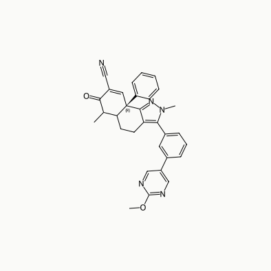 COc1ncc(-c2cccc(-c3c4c(nn3C)[C@@]3(c5ccccc5)C=C(C#N)C(=O)C(C)C3CC4)c2)cn1